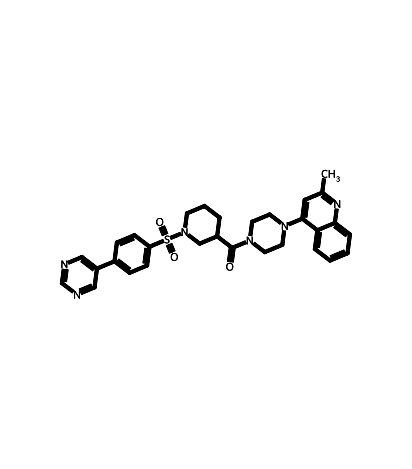 Cc1cc(N2CCN(C(=O)C3CCCN(S(=O)(=O)c4ccc(-c5cncnc5)cc4)C3)CC2)c2ccccc2n1